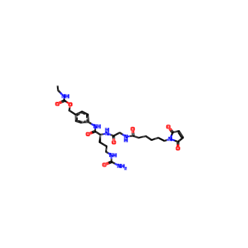 CCNC(=O)OCc1ccc(NC(=O)[C@H](CCCNC(N)=O)NC(=O)CNC(=O)CCCCCN2C(=O)C=CC2=O)cc1